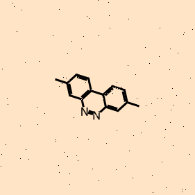 Cc1ccc2c(c1)nnc1cc(C)ccc12